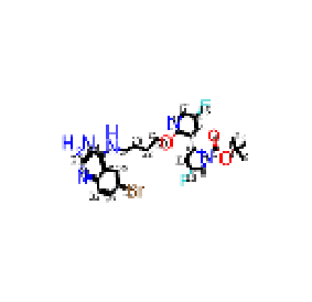 CC(C)(C)OC(=O)N1C[C@@H](F)C[C@@H]1c1cc(F)cnc1OCCCCNc1c(N)cnc2ccc(Br)cc12